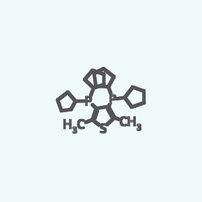 Cc1sc(C)c(P(C2CCCC2)C2CCCC2)c1P(C1CCCC1)C1CCCC1